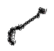 CC(=O)N1c2ccc(C3=CCN(C(=O)COCCOCCOCCOCCOCCOCCOCCNC(=O)CCNC(=O)c4nc(CC(=O)CCNC(=O)c5cc(NC(=O)c6nc(NC(=O)CCNC(=O)c7cc(NC(=O)c8cccn8C)cn7C)cn6C)cn5C)cn4C)CC3)cc2N(Cc2ccccc2CO)C[C@@H]1C1CC1